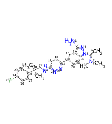 C=C(N(C)C)n1nc(N)c2cc(-c3ccc(NCC(C)(C)c4ccc(F)cc4)nn3)ccc21